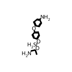 CC(CN)O[SiH2]Oc1ccc(Oc2ccc(N)cc2)cc1